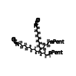 CCCCC/C=C\C/C=C(/CCCCCCCCN=C=O)C(CC/C=C/CCCCC)CCCCCCCCN=C=O